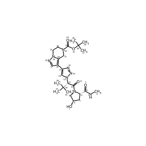 CNC(=O)[C@@H]1C[C@@H](O)CN1C(=O)[C@@H](n1cc(-c2cnn3c2CN(C(=O)OC(C)(C)C)CC3)nn1)C(C)(C)C